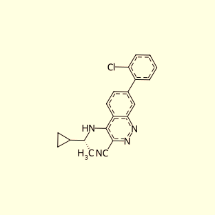 C[C@@H](Nc1c(C#N)nnc2cc(-c3ccccc3Cl)ccc12)C1CC1